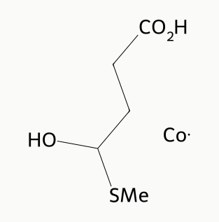 CSC(O)CCC(=O)O.[Co]